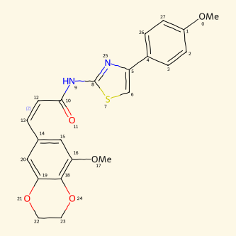 COc1ccc(-c2csc(NC(=O)/C=C\c3cc(OC)c4c(c3)OCCO4)n2)cc1